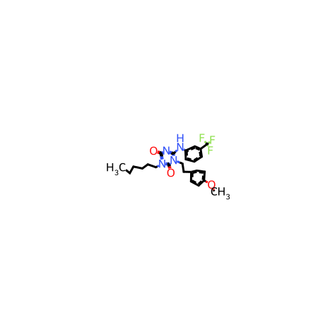 CCCCCCn1c(=O)nc(Nc2cccc(C(F)(F)F)c2)n(CCc2ccc(OC)cc2)c1=O